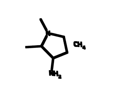 C.CC1C(N)CCN1C